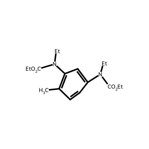 CCOC(=O)N(CC)c1ccc(C)c(N(CC)C(=O)OCC)c1